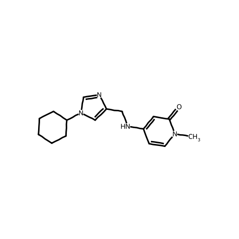 Cn1ccc(NCc2cn(C3CCCCC3)cn2)cc1=O